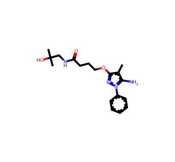 Cc1c(OCCCC(=O)NCC(C)(C)O)nn(-c2ccccc2)c1N